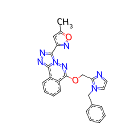 Cc1cc(-c2nnc3c4ccccc4c(OCc4nccn4Cc4ccccc4)nn23)no1